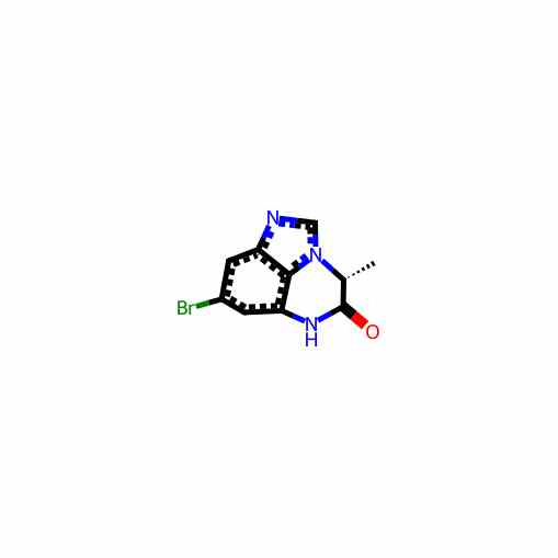 C[C@@H]1C(=O)Nc2cc(Br)cc3ncn1c23